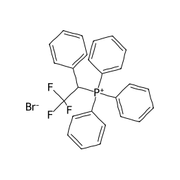 FC(F)(F)C(c1ccccc1)[P+](c1ccccc1)(c1ccccc1)c1ccccc1.[Br-]